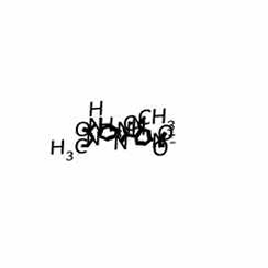 CCn1c(=O)[nH]c2cc3[nH]c(-c4ccc([N+](=O)[O-])cc4N(C)C)nc3cc21